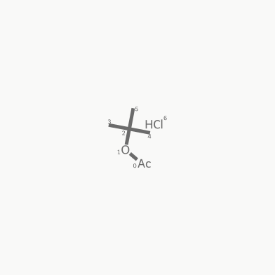 CC(=O)OC(C)(C)C.Cl